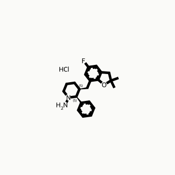 CC1(C)Cc2cc(F)cc(C[C@@H]3CCCN(N)[C@@H]3c3ccccc3)c2O1.Cl